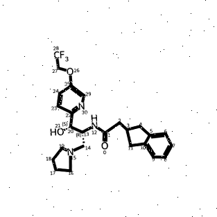 O=C(CC1Cc2ccccc2C1)N[C@H](CN1CCCC1)[C@H](O)c1ccc(OCC(F)(F)F)cn1